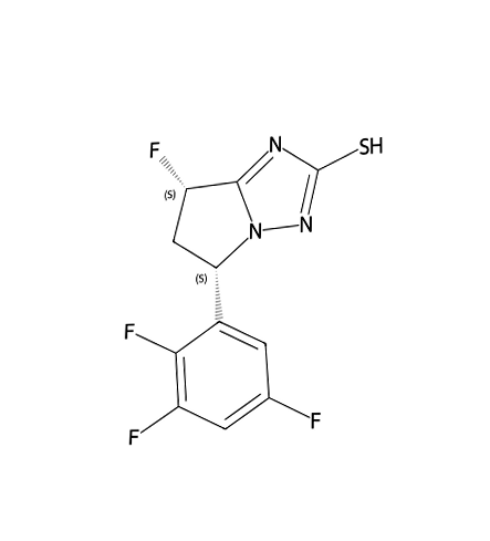 Fc1cc(F)c(F)c([C@@H]2C[C@H](F)c3nc(S)nn32)c1